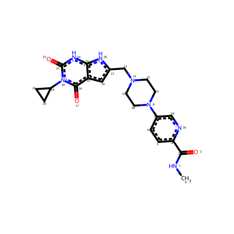 CNC(=O)c1ccc(N2CCN(Cc3cc4c(=O)n(C5CC5)c(=O)[nH]c4[nH]3)CC2)cn1